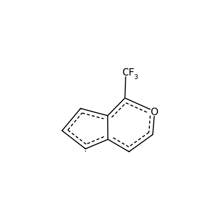 FC(F)(F)c1occc2[c]ccc1-2